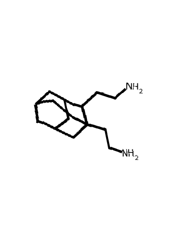 NCCC1C2CC3CC(C2)CC1(CCN)C3